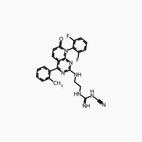 Cc1ccccc1-c1nc(NCCNC(=N)NC#N)nc2c1ccc(=O)n2-c1c(F)cccc1F